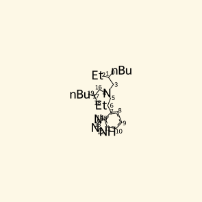 CCCCC(CC)CN(CCc1cccc2[nH]nnc12)CC(CC)CCCC